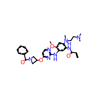 C=CC(=O)Nc1cc(Nc2nccc(OC3CN(C(=O)c4ccccc4)C3)n2)c(OC)cc1N(C)CCN(C)C